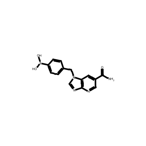 NC(=O)c1cnc2ncn(Cc3ccc(B(O)O)cc3)c2c1